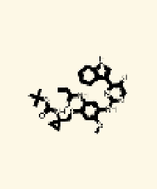 C=CC(=O)Nc1cc(Nc2ncc(Cl)c(-c3c[nH]c4ccccc34)n2)c(OC)cc1OCC1(NC(=O)OC(C)(C)C)CC1